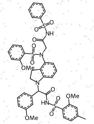 COc1cccc(C(C(=O)NS(=O)(=O)c2ccc(C)cc2OC)N2CCc3c2cccc3N(CC(=O)NS(=O)(=O)c2ccccc2)S(=O)(=O)c2ccccc2OC)c1